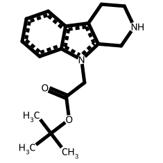 CC(C)(C)OC(=O)Cn1c2c(c3ccccc31)CCNC2